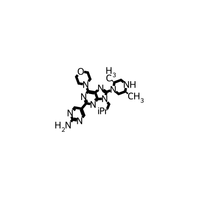 CC(C)Cn1c(N2C[C@H](C)NC[C@H]2C)nc2c(N3CCOCC3)nc(-c3cnc(N)nc3)nc21